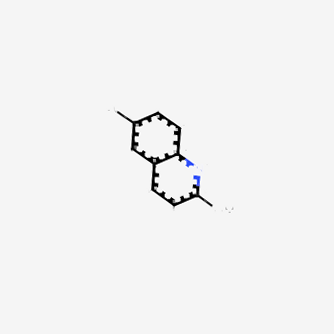 CCC(C)c1ccc2nc(OC)ccc2c1